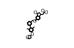 COC(=O)CC1CC(=O)c2cc(OCc3cccc(-c4c(C)cc(O[C@@H]5CCOC5)cc4C)c3)ccc21